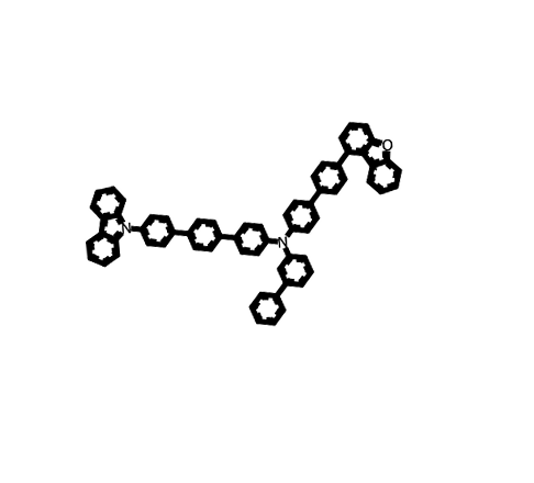 c1ccc(-c2cccc(N(c3ccc(-c4ccc(-c5ccc(-n6c7ccccc7c7ccccc76)cc5)cc4)cc3)c3ccc(-c4ccc(-c5cccc6oc7ccccc7c56)cc4)cc3)c2)cc1